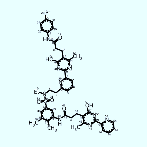 CCN(CCc1cccc(-c2nc(C)c(CCC(=O)Nc3ccc(C(C)C)cc3)c(O)n2)n1)S(=O)(=O)c1cc(C)c(C)c(NC(=O)CCc2c(C)nc(-c3ccccn3)nc2O)c1